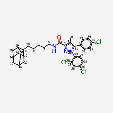 Cc1c(C(=O)NCCCCCC2C3CC4CC(C3)CC2C4)nn(-c2ccc(Cl)cc2Cl)c1-c1ccc(Cl)cc1